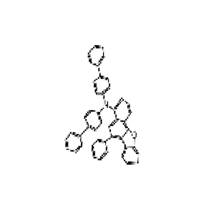 c1ccc(-c2ccc(N(c3ccc(-c4ccccc4)cc3)c3cccc4c3cc(-c3ccccc3)c3c5ccccc5oc43)cc2)cc1